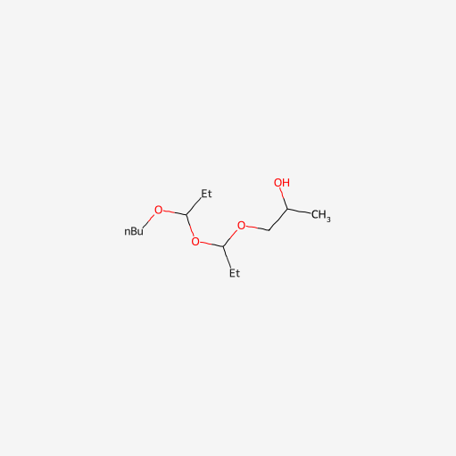 CCCCOC(CC)OC(CC)OCC(C)O